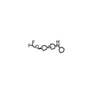 FC(F)COC=C1CCC(N2CCC(NC3CCCCC3)CC2)CC1